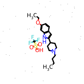 CCCCN1CCC(c2cc3ccc(OCC)cc3[nH]2)CC1.O=S(=O)(O)C(F)(F)F